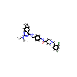 Cc1ccc2c(NCc3ccc(NC(=O)C4CCN(Cc5ccc(F)cc5Cl)CC4)cc3)nc(N(C)C)nc2c1